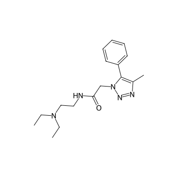 CCN(CC)CCNC(=O)Cn1nnc(C)c1-c1ccccc1